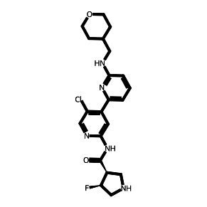 O=C(Nc1cc(-c2cccc(NCC3CCOCC3)n2)c(Cl)cn1)[C@H]1CNC[C@H]1F